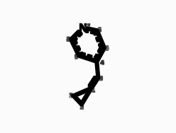 C(=C1CC1)c1ccncc1